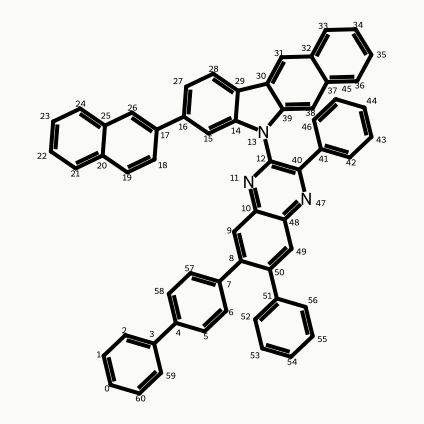 c1ccc(-c2ccc(-c3cc4nc(-n5c6cc(-c7ccc8ccccc8c7)ccc6c6cc7ccccc7cc65)c(-c5ccccc5)nc4cc3-c3ccccc3)cc2)cc1